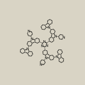 c1ccc2c(c1)c1ccccc1n2-c1ccc2c(c1)c1cc(-c3nc(-c4ccc5c(c4)c4cc(-n6c7ccccc7c7ccccc76)ccc4n5-c4ccncc4)nc(-c4ccc5c(c4)c4cc(-n6c7ccccc7c7ccccc76)ccc4n5-c4ccncc4)n3)ccc1n2-c1ccncc1